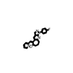 O=C1CCCc2nc3c(cnn3-c3ccc(F)cc3)cc2C1=Cc1ccccn1